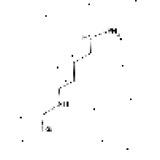 CCCCCNCCCCNP